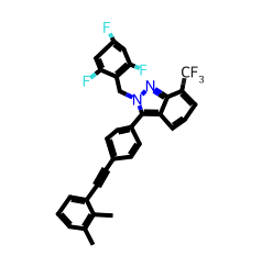 Cc1cccc(C#Cc2ccc(-c3c4cccc(C(F)(F)F)c4nn3Cc3c(F)cc(F)cc3F)cc2)c1C